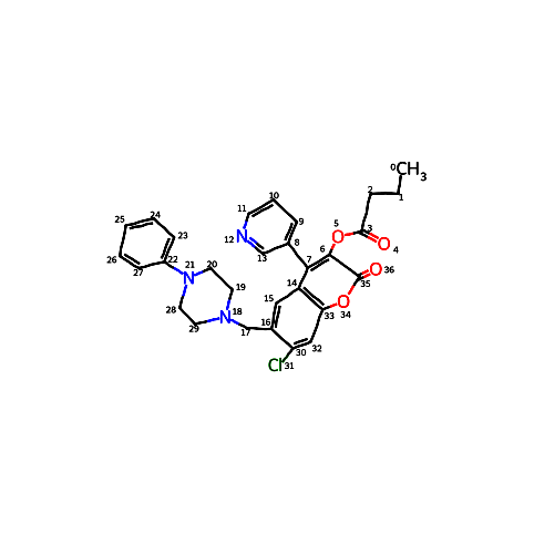 CCCC(=O)Oc1c(-c2cccnc2)c2cc(CN3CCN(c4ccccc4)CC3)c(Cl)cc2oc1=O